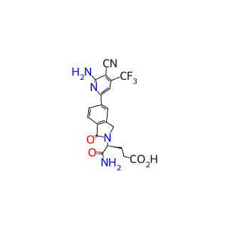 N#Cc1c(C(F)(F)F)cc(-c2ccc3c(c2)CN([C@@H](CCC(=O)O)C(N)=O)C3=O)nc1N